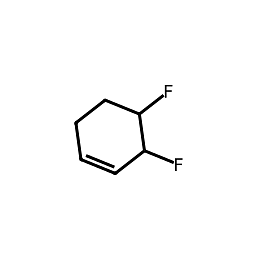 FC1C=CCCC1F